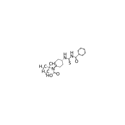 CC(C)(C)N(C(=O)O)[C@H]1CC[C@H](NC(=S)NC(=O)c2ccccc2)CC1